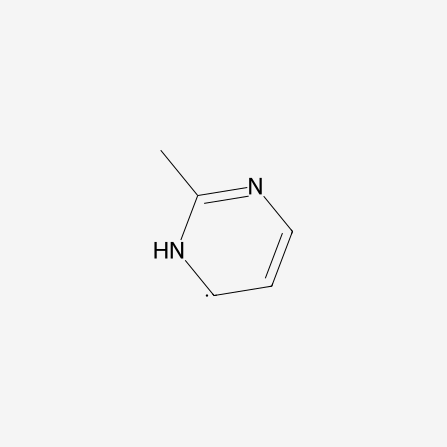 CC1=NC=C[CH]N1